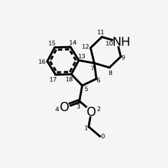 CCOC(=O)C1CC2(CCNCC2)c2ccccc21